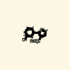 CCOC(=O)c1cnoc1-c1cccc(Cl)c1